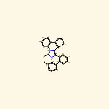 Cc1cccc2c1N1C(=C3c4ccccc4-c4ccccc4N3C1C)c1ccccc1-2